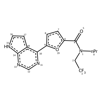 CCCN(CC(F)(F)F)C(=O)c1ccc(-c2ncnc3[nH]ccc23)o1